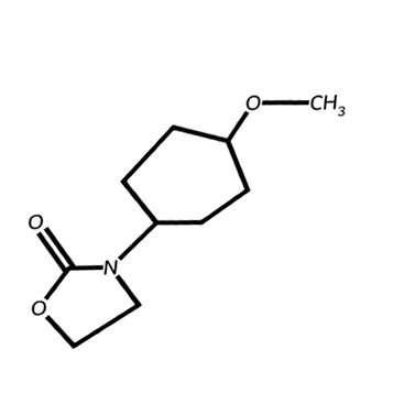 COC1CCC(N2CCOC2=O)CC1